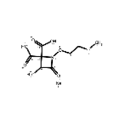 COCCON1C(=O)C(C)C1(C(=O)O)C(=O)O.[NaH]